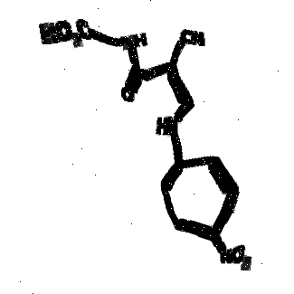 CCOC(=O)NC(=O)C(C#N)=CNc1ccc([N+](=O)[O-])cc1